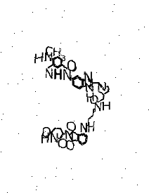 CNc1ccc(C(=O)Nc2ccc3[nH]c(CN4CCC(CC(=O)NCCCCNc5cccc6c5C(=O)N(C5CCC(=O)NC5=O)C6=O)C4)nc3c2)cc1C=N